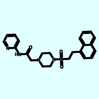 O=C(CN1CCN(S(=O)(=O)CCc2cccc3ccccc23)CC1)Nc1ccccn1